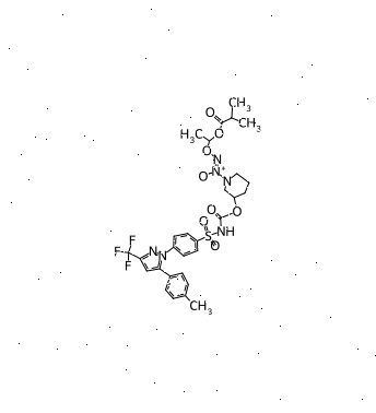 Cc1ccc(-c2cc(C(F)(F)F)nn2-c2ccc(S(=O)(=O)NC(=O)OC3CCCN([N+]([O-])=NOC(C)OC(=O)C(C)C)C3)cc2)cc1